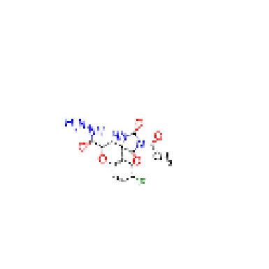 CC(=O)N1C(=O)NC2(CC(C(=O)NN)Oc3ccc(F)cc32)C1=O